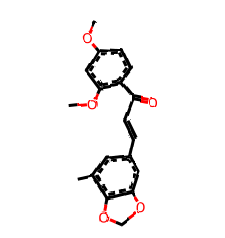 COc1ccc(C(=O)/C=C/c2cc(C)c3c(c2)OCO3)c(OC)c1